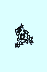 Cc1nc2c(ccc3cc(-c4ccccc4-c4cc(-c5ccccc5-c5ccc6c(ccc7sc(C)nc76)c5)cc(-c5ccccc5-c5ccc6c(ccc7sc(C)nc76)c5)c4)ccc32)s1